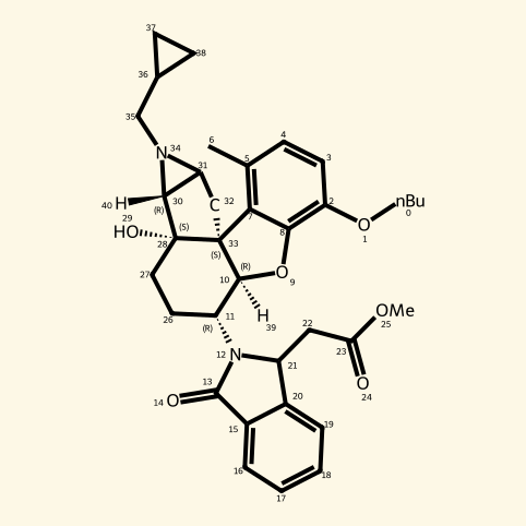 CCCCOc1ccc(C)c2c1O[C@H]1[C@H](N3C(=O)c4ccccc4C3CC(=O)OC)CC[C@@]3(O)[C@H]4C(C[C@]213)N4CC1CC1